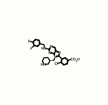 O=C(O)c1ccc(Cl)c(-c2nc3cnc(NCc4ccc(F)c(F)c4)nc3n2C[C@@H]2CCCNC2)c1